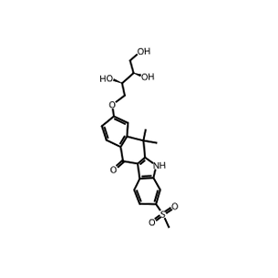 CC1(C)c2cc(OC[C@@H](O)[C@H](O)CO)ccc2C(=O)c2c1[nH]c1cc(S(C)(=O)=O)ccc21